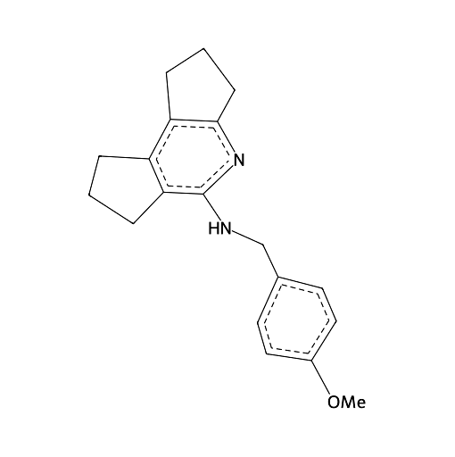 COc1ccc(CNc2nc3c(c4c2CCC4)CCC3)cc1